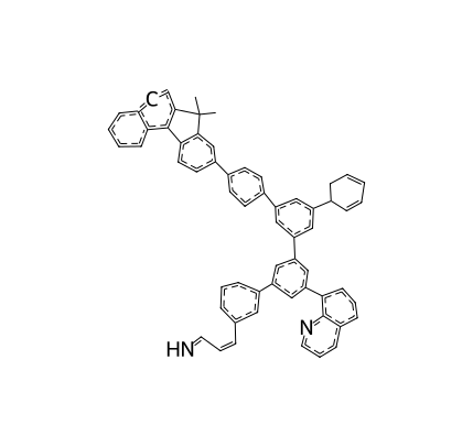 CC1(C)c2cc(-c3ccc(-c4cc(-c5cc(-c6cccc(/C=C\C=N)c6)cc(-c6cccc7cccnc67)c5)cc(C5C=CC=CC5)c4)cc3)ccc2-c2c1ccc1ccccc21